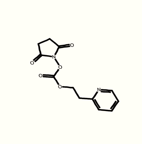 O=C(OCCc1ccccn1)ON1C(=O)CCC1=O